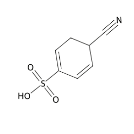 N#CC1C=CC(S(=O)(=O)O)=CC1